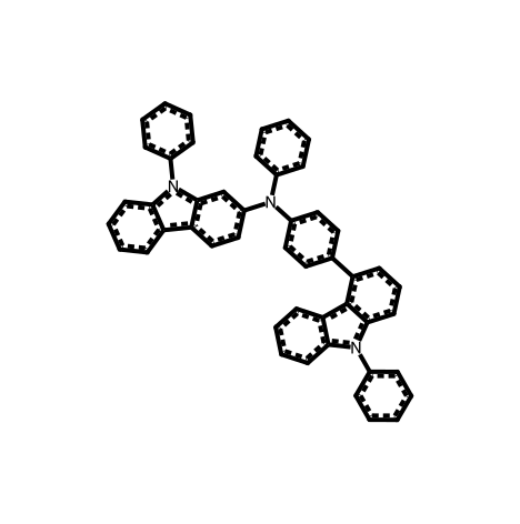 c1ccc(N(c2ccc(-c3cccc4c3c3ccccc3n4-c3ccccc3)cc2)c2ccc3c4ccccc4n(-c4ccccc4)c3c2)cc1